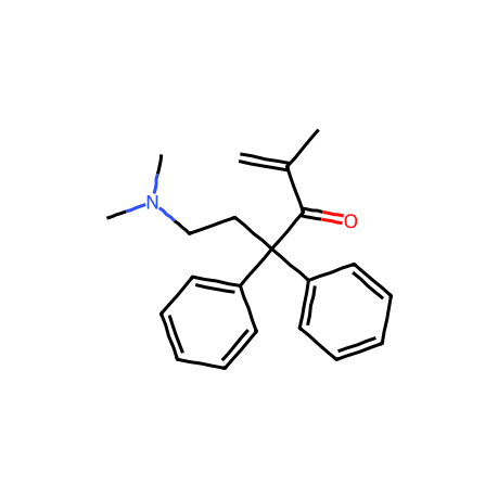 C=C(C)C(=O)C(CCN(C)C)(c1ccccc1)c1ccccc1